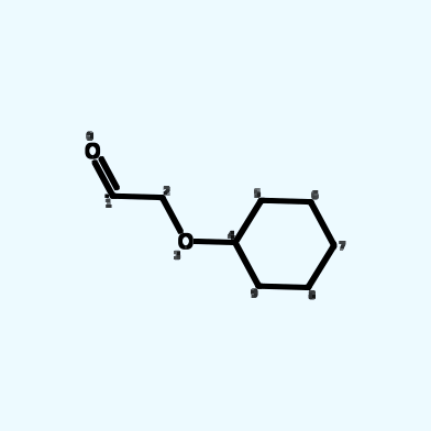 O=[C]COC1CCCCC1